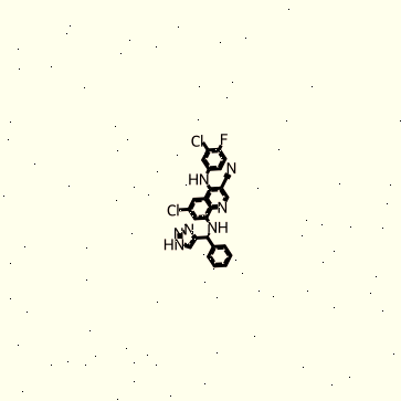 N#Cc1cnc2c(N[C@@H](c3ccccc3)c3c[nH]nn3)cc(Cl)cc2c1Nc1ccc(F)c(Cl)c1